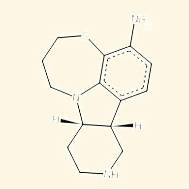 Nc1ccc2c3c1SCCCN3[C@H]1CCNC[C@@H]21